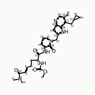 COC(=O)NC(CCC=CC(=O)N(C)C)C(=O)Nc1cccn(Cc2cc3ncc(F)c(CC4CC4)c3[nH]2)c1=O